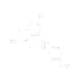 COC(=O)c1c(F)cc(Br)cc1NCc1ccc(OC)cc1